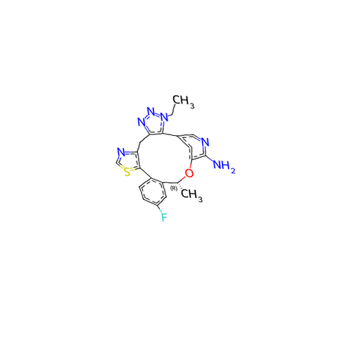 CCn1nnc2c1-c1cnc(N)c(c1)O[C@H](C)c1cc(F)ccc1-c1scnc1C2